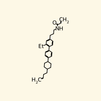 C=CCCC1CCC(c2ccc(-c3ccc(CCCNC(=O)C=C)cc3CC)cc2)CC1